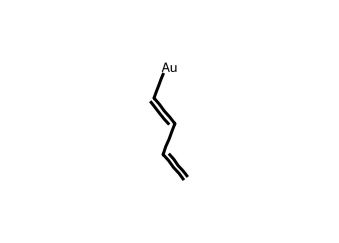 C=CC=[CH][Au]